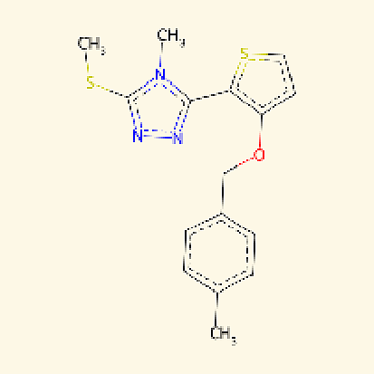 CSc1nnc(-c2sccc2OCc2ccc(C)cc2)n1C